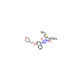 CNC(=O)c1sc(C(C)(C)C)cc1NC(=O)Nc1ccc(OCCC2CCOCC2)c2ccccc12